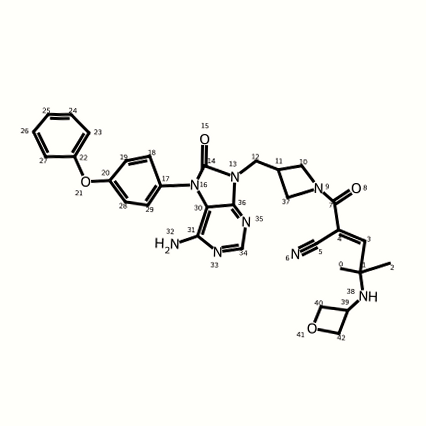 CC(C)(C=C(C#N)C(=O)N1CC(Cn2c(=O)n(-c3ccc(Oc4ccccc4)cc3)c3c(N)ncnc32)C1)NC1COC1